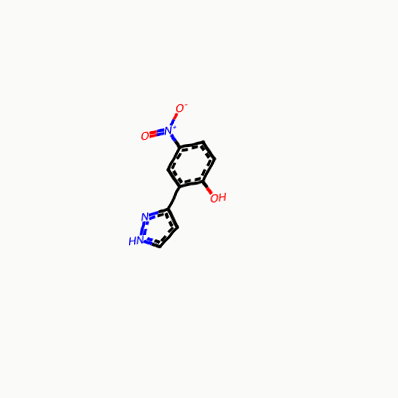 O=[N+]([O-])c1ccc(O)c(-c2cc[nH]n2)c1